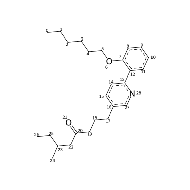 CCCCCCOc1ccccc1-c1ccc(CCCC(=O)CC(C)CC)cn1